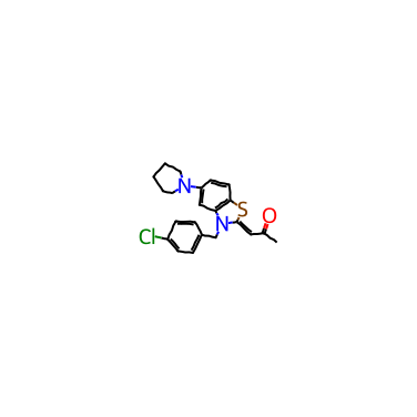 CC(=O)/C=C1\Sc2ccc(N3CCCCC3)cc2N1Cc1ccc(Cl)cc1